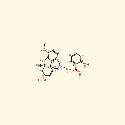 COc1ccc2c3c1O[C@H]1C[C@@H](O)C=C[C@@]31CCN(C)C2.O=C(O)c1ccccc1O